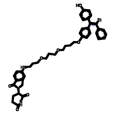 CC/C(=C(\c1ccc(O)cc1)c1ccc(OCCCCOCCCOCCCNc2ccc3c(c2)CN(C2CCC(=O)NC2=O)C3=O)cc1)c1ccccc1